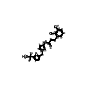 CC(F)(F)c1ccc(Cn2ccc(NC(=O)C=Cc3cccc(Cl)c3Cl)n2)o1